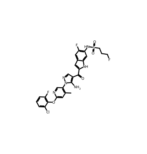 Cc1cc(Oc2c(F)cccc2Cl)ncc1-n1ncc(C(=O)c2cc3cc(F)c(NS(=O)(=O)CCCF)cc3[nH]2)c1N